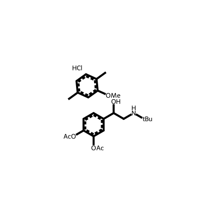 CC(=O)Oc1ccc(C(O)CNC(C)(C)C)cc1OC(C)=O.COc1cc(C)ccc1C.Cl